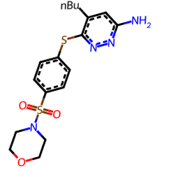 CCCCc1cc(N)nnc1Sc1ccc(S(=O)(=O)N2CCOCC2)cc1